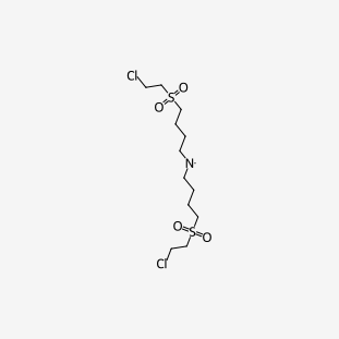 O=S(=O)(CCCl)CCCC[N]CCCCS(=O)(=O)CCCl